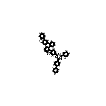 c1ccc(-c2ccc(-c3nc(-c4ccccc4)nc(-c4ccc5c(c4)oc4cccc(-c6ccccc6-c6ccc7oc8ccccc8c7c6)c45)n3)cc2)cc1